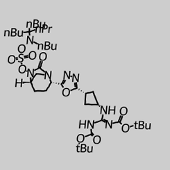 CCCCN(OS(=O)(=O)ON1C(=O)N2C[C@@H]1CC[C@H]2c1nnc([C@H]2C[C@@H](N/C(=N\C(=O)OC(C)(C)C)NC(=O)OC(C)(C)C)C2)o1)C(CCC)(CCCC)CCCC